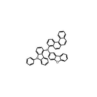 c1ccc(-n2c3ccccc3c3c(N(c4ccc5oc6ccccc6c5c4)c4cccc5c4ccc4ccc6ccccc6c45)cccc32)cc1